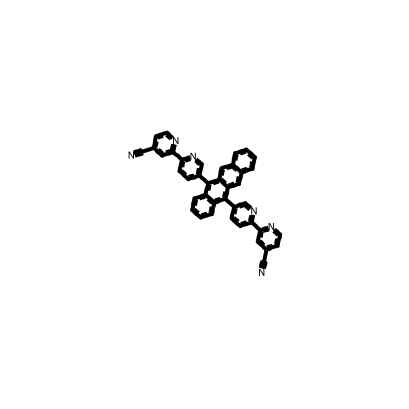 N#Cc1ccnc(-c2ccc(-c3c4ccccc4c(-c4ccc(-c5cc(C#N)ccn5)nc4)c4cc5ccccc5cc34)cn2)c1